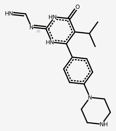 CC(C)c1c(-c2ccc(N3CCNCC3)cc2)[nH]/c(=N/C=N)[nH]c1=O